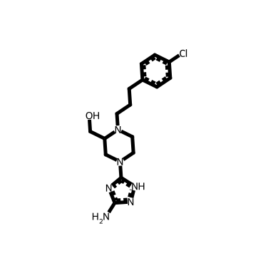 Nc1n[nH]c(N2CCN(CCCc3ccc(Cl)cc3)C(CO)C2)n1